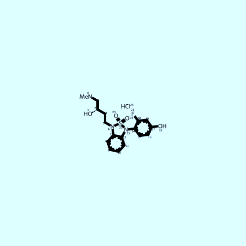 CNC[C@@H](O)CCN1c2ccccc2N(c2ccc(O)cc2F)S1(=O)=O.Cl